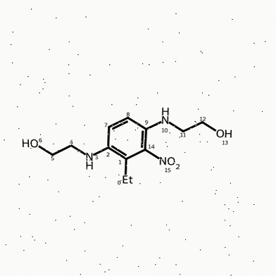 CCc1c(NCCO)ccc(NCCO)c1[N+](=O)[O-]